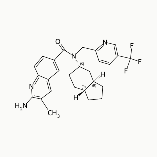 Cc1cc2cc(C(=O)N(Cc3ccc(C(F)(F)F)cn3)[C@H]3CC[C@H]4CCC[C@@H]4C3)ccc2nc1N